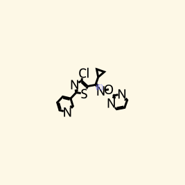 Clc1nc(-c2cccnc2)sc1/C(=N/Oc1ncccn1)C1CC1